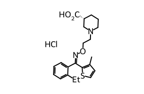 CCc1ccccc1/C(=N/OCCN1CCC[C@@H](C(=O)O)C1)c1sccc1C.Cl